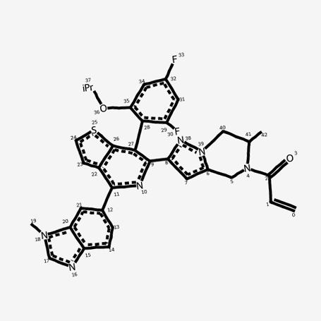 C=CC(=O)N1Cc2cc(-c3nc(-c4ccc5ncn(C)c5c4)c4ccsc4c3-c3c(F)cc(F)cc3OC(C)C)nn2CC1C